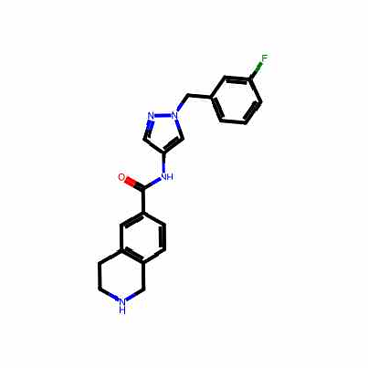 O=C(Nc1cnn(Cc2cccc(F)c2)c1)c1ccc2c(c1)CCNC2